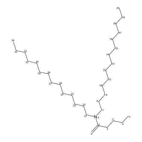 C=C(CCCC)N(CCCCCCCCCCCCCC)CCCCCCCCCCCCCC